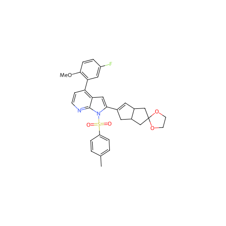 COc1ccc(F)cc1-c1ccnc2c1cc(C1=CC3CC4(CC3C1)OCCO4)n2S(=O)(=O)c1ccc(C)cc1